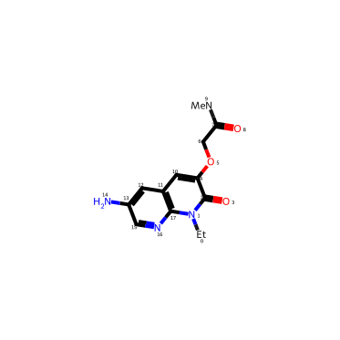 CCn1c(=O)c(OCC(=O)NC)cc2cc(N)cnc21